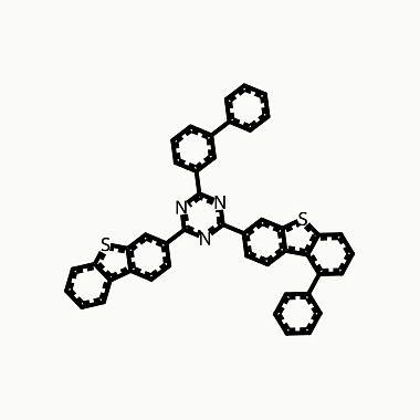 c1ccc(-c2cccc(-c3nc(-c4ccc5c(c4)sc4ccccc45)nc(-c4ccc5c(c4)sc4cccc(-c6ccccc6)c45)n3)c2)cc1